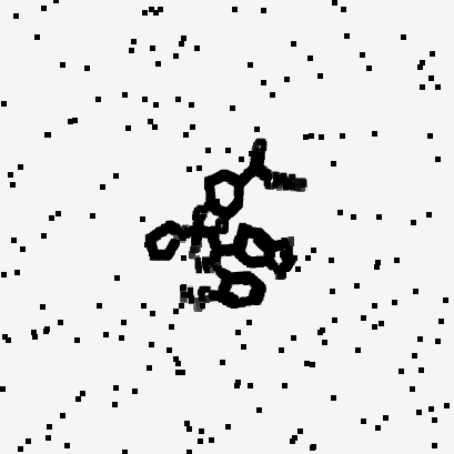 COC(=O)C1CCC(OC(F)(C(=O)C(Nc2ccccc2C)c2ccc3ncsc3c2)N2CCCC2)CC1